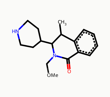 COCN1C(=O)c2ccccc2C(C)C1C1CCNCC1